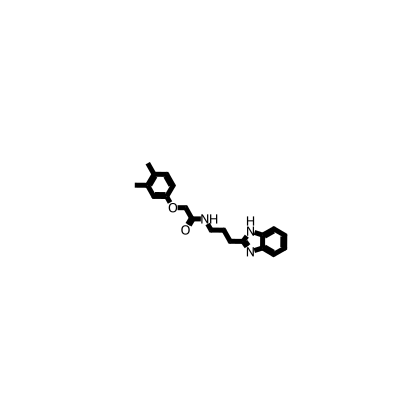 Cc1ccc(OCC(=O)NCCCc2nc3ccccc3[nH]2)cc1C